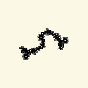 C=CC(=O)OC(C)(C)C(COC(C)(C)C(C)(C)CCCCOC(C)(C)CCOc1cccc(OCCC(C)(C)OCCCCC(C)(C)C(C)(C)OCC(c2ccccc2)C(C)(C)OC(=O)C=C)c1)c1ccccc1